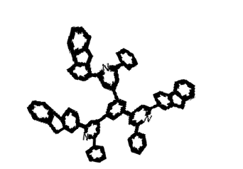 c1ccc(-c2cc(-c3cc(-c4cc(-c5ccccc5)nc(-c5ccc6c(c5)Cc5ccccc5-6)c4)cc(-c4cc(-c5ccccc5)nc(-c5cccc6c5Cc5ccccc5-6)c4)c3)cc(-c3ccc4c(c3)Cc3ccccc3-4)n2)cc1